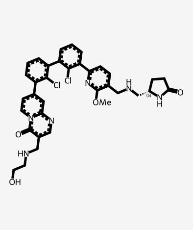 COc1nc(-c2cccc(-c3cccc(-c4ccn5c(=O)c(CNCCO)cnc5c4)c3Cl)c2Cl)ccc1CNC[C@@H]1CCC(=O)N1